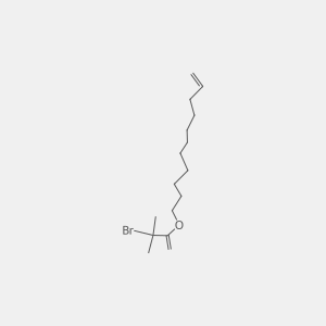 C=CCCCCCCCCCOC(=C)C(C)(C)Br